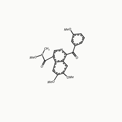 COc1cccc(C(=O)c2ncc(C(=O)N(C)OC)c3cc(OC)c(OC)cc23)c1